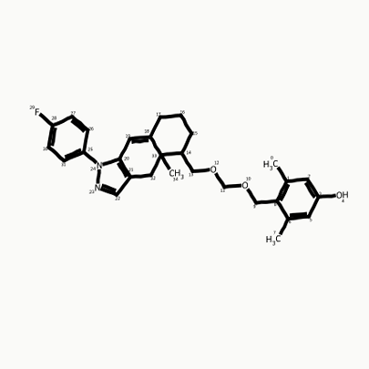 Cc1cc(O)cc(C)c1COCOCC1CCCC2=Cc3c(cnn3-c3ccc(F)cc3)CC21C